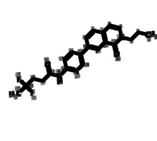 CCCn1ccc2ccc(-c3ccc(NC(=O)CCC(C)(F)F)nc3)cc2c1=O